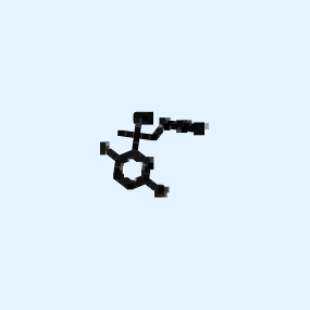 CC(O)(CN=[N+]=[N-])c1nc(Br)ccc1F